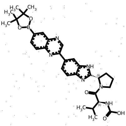 CC(C)[C@H](NC(=O)O)C(=O)N1CCC[C@H]1c1nc2ccc(-c3cnc4cc(B5OC(C)(C)C(C)(C)O5)ccc4n3)cc2[nH]1